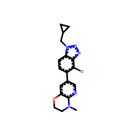 CN1CCOc2cc(-c3ccc4c(nnn4CC4CC4)c3Cl)cnc21